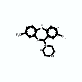 FC(F)(F)c1ccc2c(c1)N=C(N1CCNCC1)c1cc(Br)ccc1O2